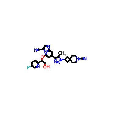 Cc1c(-c2cc(OC(CO)c3ccc(F)cn3)n3c(C#N)cnc3c2)nnn1C1CC2(CCN(C#N)CC2)C1